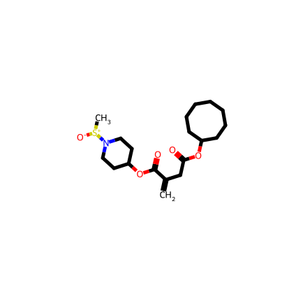 C=C(CC(=O)OC1CCCCCCC1)C(=O)OC1CCN([S+](C)[O-])CC1